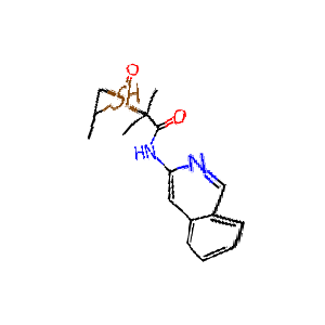 CC1C[SH]1(=O)C(C)(C)C(=O)Nc1cc2ccccc2cn1